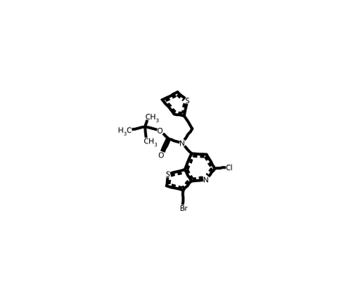 CC(C)(C)OC(=O)N(Cc1cccs1)c1cc(Cl)nc2c(Br)csc12